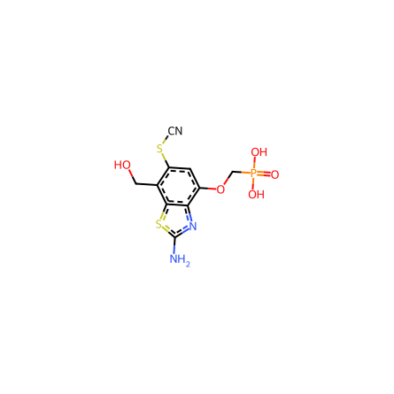 N#CSc1cc(OCP(=O)(O)O)c2nc(N)sc2c1CO